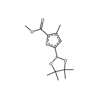 COC(=O)c1sc(B2OC(C)(C)C(C)(C)O2)cc1C